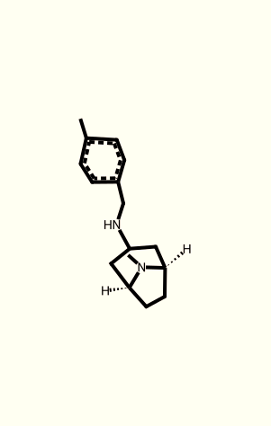 Cc1ccc(CNC2C[C@H]3CC[C@@H](C2)N3C)cc1